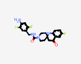 Nc1cc(F)c(CNC(=O)N2CCC3(CC2)CC(=O)c2cc(F)ccc2N3)cc1F